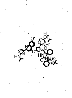 COc1ccc2c(O[C@@H]3C[C@@H](C(=O)N[C@@H](CC(C)F)C(=O)O)N(C(=O)[C@@H](NC(=O)NC4(CS(=O)(=O)C(C)(C)C)CCCCC4)C4(C)CCCCC4)C3)cc(-c3csc(NC(C)C)n3)nc2c1